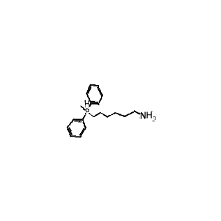 C[PH](CCCCCCN)(c1ccccc1)c1ccccc1